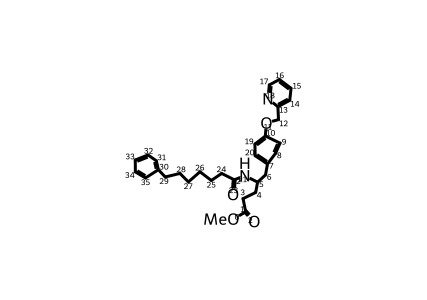 COC(=O)CCC(Cc1ccc(OCc2ccccn2)cc1)NC(=O)CCCCCCc1ccccc1